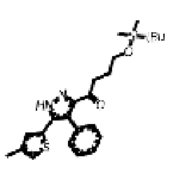 Cc1csc(-c2[nH]nc(C(=O)CCCO[Si](C)(C)C(C)(C)C)c2-c2ccccc2)c1